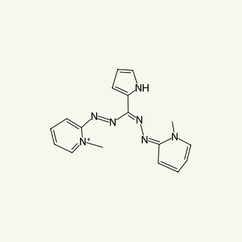 Cn1cccc/c1=N/N=C(\N=N\c1cccc[n+]1C)c1ccc[nH]1